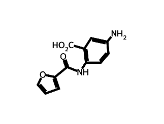 Nc1ccc(NC(=O)c2ccco2)c(C(=O)O)c1